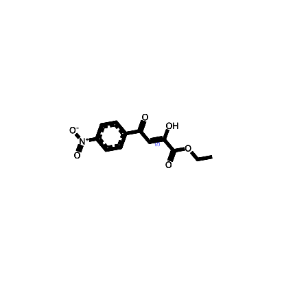 CCOC(=O)/C(O)=C/C(=O)c1ccc([N+](=O)[O-])cc1